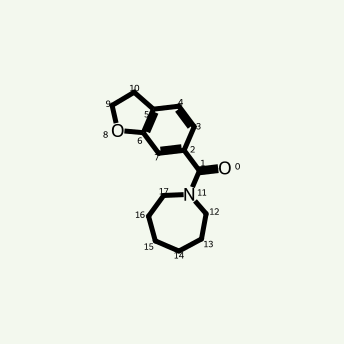 O=C(c1ccc2c(c1)OCC2)N1CCCCCC1